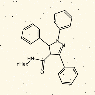 CCCCCCNC(=O)C1C(c2ccccc2)=NN(c2ccccc2)C1c1ccccc1